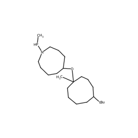 CPN1CCCCC(OC2(C)CCCCC(C(C)(C)C)CCC2)CCC1